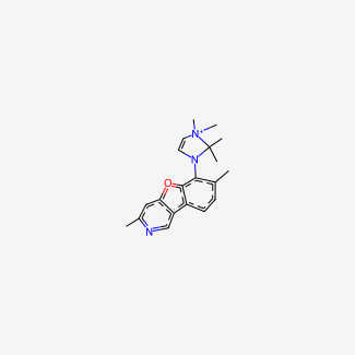 Cc1cc2oc3c(N4C=C[N+](C)(C)C4(C)C)c(C)ccc3c2cn1